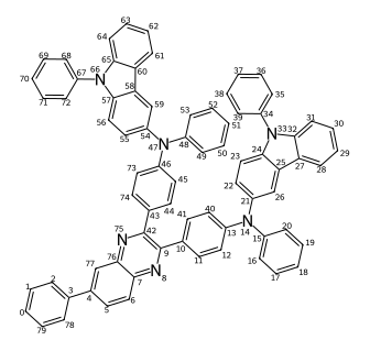 c1ccc(-c2ccc3nc(-c4ccc(N(c5ccccc5)c5ccc6c(c5)c5ccccc5n6-c5ccccc5)cc4)c(-c4ccc(N(c5ccccc5)c5ccc6c(c5)c5ccccc5n6-c5ccccc5)cc4)nc3c2)cc1